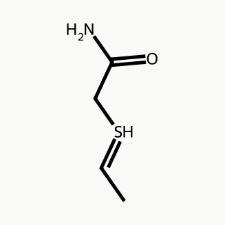 CC=[SH]CC(N)=O